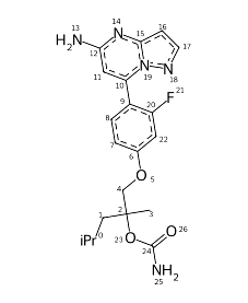 CC(C)CC(C)(COc1ccc(-c2cc(N)nc3ccnn23)c(F)c1)OC(N)=O